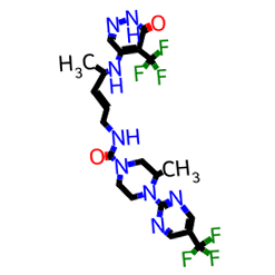 CC(/C=C/CNC(=O)N1CCN(c2ncc(C(F)(F)F)cn2)C(C)C1)Nc1cn[nH]c(=O)c1C(F)(F)F